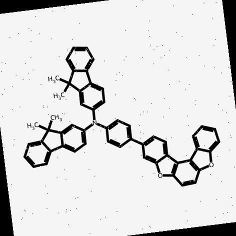 CC1(C)c2ccccc2-c2ccc(N(c3ccc(-c4ccc5c(c4)oc4ccc6oc7ccccc7c6c45)cc3)c3ccc4c(c3)C(C)(C)c3ccccc3-4)cc21